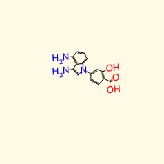 Nc1cccc2c1c(N)cn2-c1ccc(C(=O)O)c(O)c1